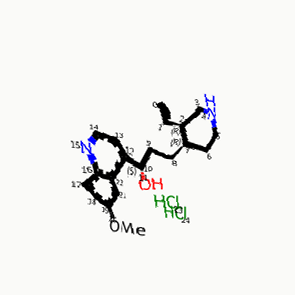 C=C[C@H]1CNCC[C@H]1CC[C@H](O)c1ccnc2ccc(OC)cc12.Cl.Cl